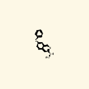 CCCCNc1cc2ccc(Sc3ccccc3)cc2cn1